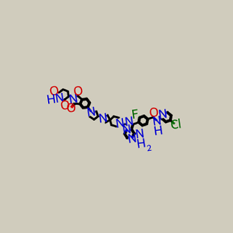 Nc1nccn2c(N3CCC4(CC3)CN([C@@H]3CCN(c5ccc6c(c5)C(=O)N(C5CCC(=O)NC5=O)C6=O)C3)C4)nc(-c3ccc(C(=O)Nc4cc(Cl)ccn4)cc3F)c12